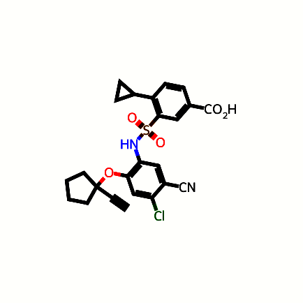 C#CC1(Oc2cc(Cl)c(C#N)cc2NS(=O)(=O)c2cc(C(=O)O)ccc2C2CC2)CCCC1